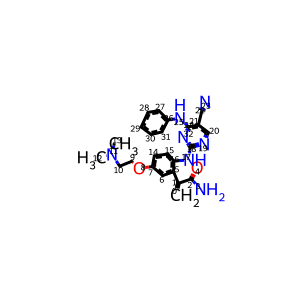 C=C(C(N)=O)c1cc(OCCN(C)C)ccc1Nc1ncc(C#N)c(Nc2ccccc2)n1